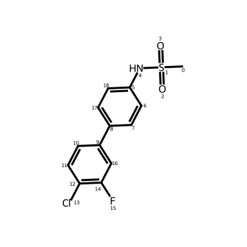 CS(=O)(=O)Nc1ccc(-c2ccc(Cl)c(F)c2)cc1